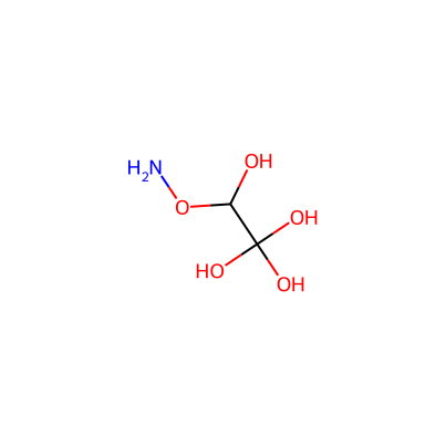 NOC(O)C(O)(O)O